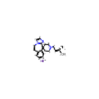 CC(C)=CCN1CCC2(CC1)c1ccccc1CCn1ccnc12.I